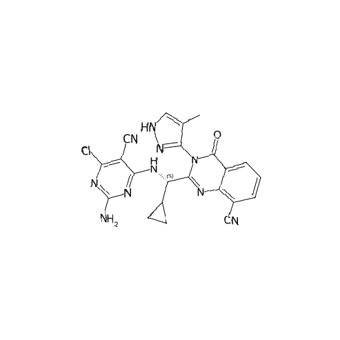 Cc1c[nH]nc1-n1c([C@@H](Nc2nc(N)nc(Cl)c2C#N)C2CC2)nc2c(C#N)cccc2c1=O